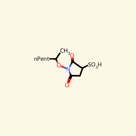 CCCCCC(C)ON1C(=O)CC(S(=O)(=O)O)C1=O